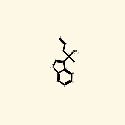 C=CCC(C)(N)c1c[nH]c2ccccc12